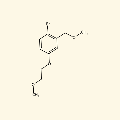 COCCOc1ccc(Br)c(COC)c1